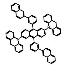 c1cc(-c2ccc3ccccc3c2)cc(-c2c3ccc(N4c5ccccc5Cc5ccccc54)cc3c(-c3cccc(-c4ccc5ccccc5c4)c3)c3ccc(N4c5ccccc5Cc5ccccc54)cc23)c1